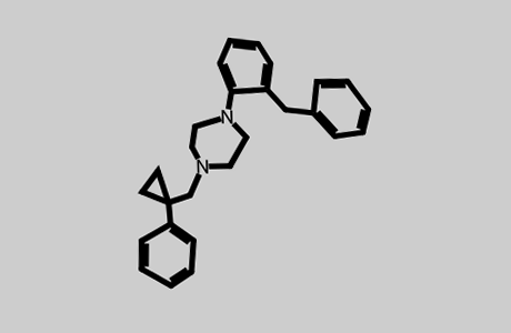 c1ccc(Cc2ccccc2N2CCN(CC3(c4ccccc4)CC3)CC2)cc1